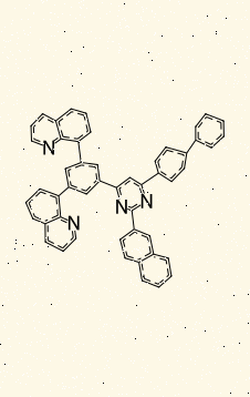 c1ccc(-c2ccc(-c3cc(-c4cc(-c5cccc6cccnc56)cc(-c5cccc6cccnc56)c4)nc(-c4ccc5ccccc5c4)n3)cc2)cc1